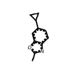 Cc1nc2ccc(C3CC3)cc2o1